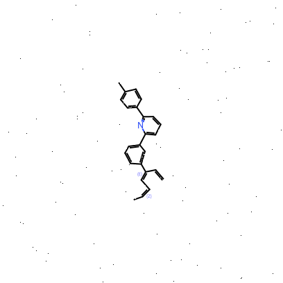 C=C/C(=C\C=C/C)c1cccc(-c2cccc(-c3ccc(C)cc3)n2)c1